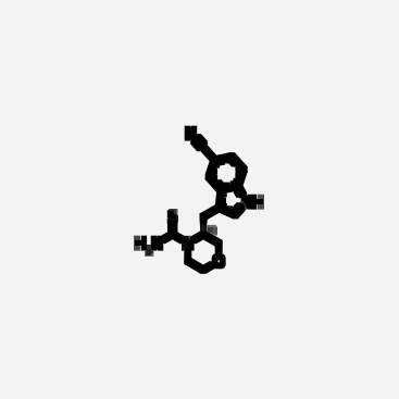 N#Cc1ccc2[nH]cc(C[C@H]3COCCN3C(N)=S)c2c1